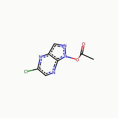 CC(=O)On1ncc2nc(Cl)cnc21